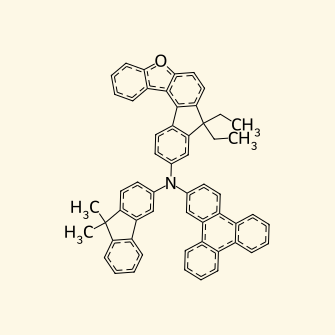 CCC1(CC)c2cc(N(c3ccc4c(c3)-c3ccccc3C4(C)C)c3ccc4c5ccccc5c5ccccc5c4c3)ccc2-c2c1ccc1oc3ccccc3c21